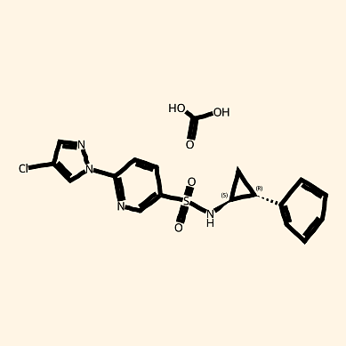 O=C(O)O.O=S(=O)(N[C@H]1C[C@@H]1c1ccccc1)c1ccc(-n2cc(Cl)cn2)nc1